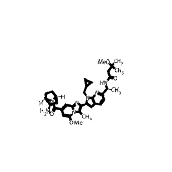 COc1cc(C(=O)N2[C@H]3CC[C@@H]2[C@H](N)C3)cc2nc(-c3cc4ccc([C@@H](C)NC(=O)CC(C)(C)OC)nc4n3CC3CC3)c(C)n12